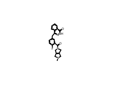 CN1CC2=C(C1)CN(C(=O)c1cc(Cc3n[nH]c(=O)c4ccccc34)ccc1F)C2